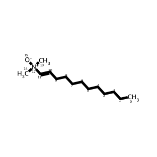 CCCCCCCCCCC=C[N+](C)(C)[O-]